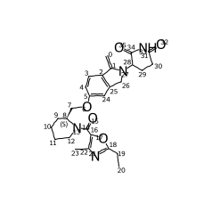 C=C1c2ccc(OC[C@@H]3CCCCN3C(=O)c3oc(CC)nc3C)cc2CN1C1CCC(=O)NC1=O